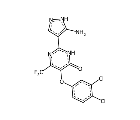 Nc1[nH]ncc1-c1nc(C(F)(F)F)c(Oc2ccc(Cl)c(Cl)c2)c(=O)[nH]1